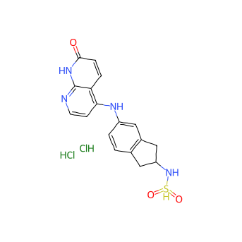 Cl.Cl.O=c1ccc2c(Nc3ccc4c(c3)CC(N[SH](=O)=O)C4)ccnc2[nH]1